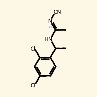 C/C(=N\C#N)NC(C)c1ccc(Cl)cc1Cl